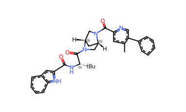 Cc1cc(C(=O)N2C[C@@H]3C[C@H]2CN3C(=O)[C@@H](NC(=O)c2cc3ccccc3[nH]2)C(C)(C)C)ncc1-c1ccccc1